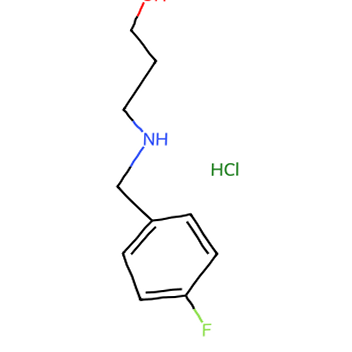 Cl.OCCCNCc1ccc(F)cc1